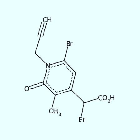 C#CCn1c(Br)cc(C(CC)C(=O)O)c(C)c1=O